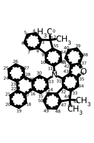 CC1(C)c2ccccc2-c2cc(N(c3ccc4c5ccccc5c5ccccc5c4c3)c3c4c(cc5oc6ccccc6c35)C(C)(C)c3ccccc3-4)ccc21